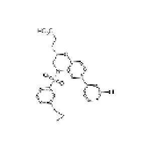 O=C(O)CC[C@H]1CN(S(=O)(=O)c2cccc(C3CC3)c2)c2cc(-c3cccc(Cl)c3)ccc2O1